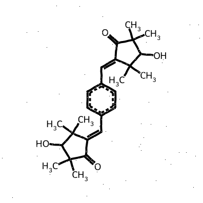 CC1(C)C(=O)C(=Cc2ccc(C=C3C(=O)C(C)(C)C(O)C3(C)C)cc2)C(C)(C)C1O